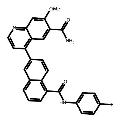 COc1cc2nccc(-c3ccc4c(C(=O)Nc5ccc(F)cc5)cccc4c3)c2cc1C(N)=O